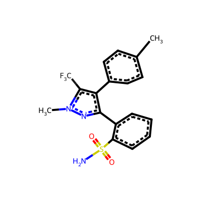 Cc1ccc(-c2c(-c3ccccc3S(N)(=O)=O)nn(C)c2C(F)(F)F)cc1